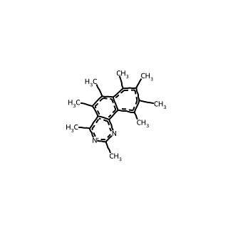 Cc1nc(C)c2c(C)c(C)c3c(C)c(C)c(C)c(C)c3c2n1